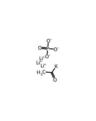 C[C](=O)[K].O=P([O-])([O-])[O-].[Li+].[Li+].[Li+]